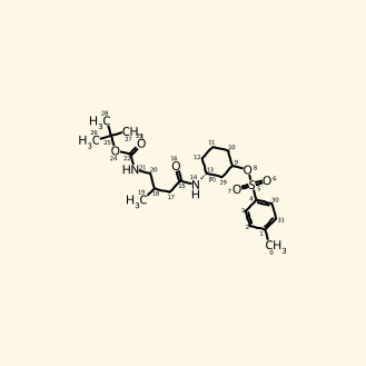 Cc1ccc(S(=O)(=O)OC2CCC[C@@H](NC(=O)CC(C)CNC(=O)OC(C)(C)C)C2)cc1